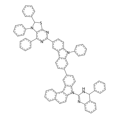 c1ccc(-c2nc(-c3ccc4c(c3)c3ccc(-c5ccc6c(c5)c5c7ccccc7ccc5n6C5=Nc6ccccc6C(c6ccccc6)N5)cc3n4-c3ccccc3)nc3c2N(c2ccccc2)C(c2ccccc2)S3)cc1